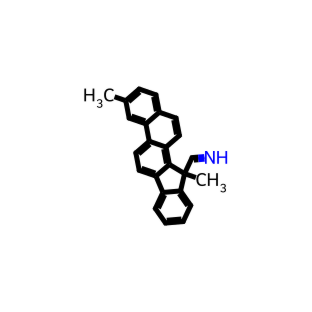 Cc1ccc2ccc3c4c(ccc3c2c1)-c1ccccc1C4(C)C=N